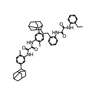 CCc1ccccc1NC(=O)C(=O)Nc1ccccc1CCC1C2CC3CC(C2)C(c2ccc(C)c(NC(=O)C(=O)Nc4cc(C5C6CC7CC(C6)CC5C7)ccc4C)c2)C1C3